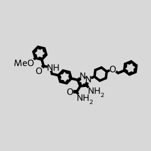 COc1ccccc1C(=O)NCc1ccc(-c2nn(C3CCC(OCc4ccccc4)CC3)c(N)c2C(N)=O)cc1